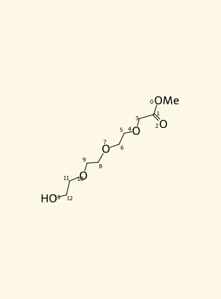 COC(=O)COCCOCCOCCO